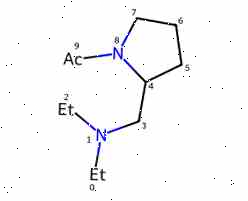 CCN(CC)CC1CCCN1C(C)=O